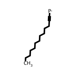 CCCCCCCCCCCC#C[P]